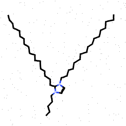 CCCCCCCCCCCCCCCCCCC1N(CCCCC)C=CN1CCCCCCCCCCCCCCCCC